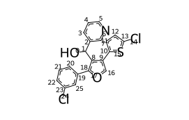 OC(c1cccnc1)c1c(-c2ccc(Cl)s2)coc1-c1cccc(Cl)c1